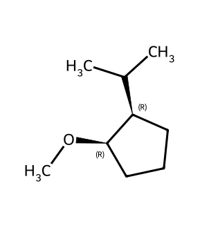 CO[C@@H]1CCC[C@@H]1C(C)C